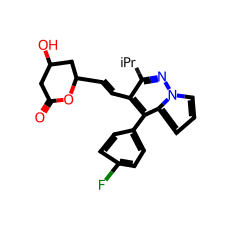 CC(C)c1nn2cccc2c(-c2ccc(F)cc2)c1/C=C/C1CC(O)CC(=O)O1